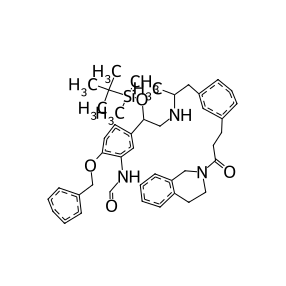 CC(Cc1cccc(CCC(=O)N2CCc3ccccc3C2)c1)NCC(O[Si](C)(C)C(C)(C)C)c1ccc(OCc2ccccc2)c(NC=O)c1